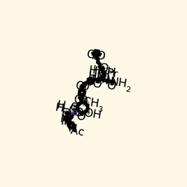 CC(=O)N1CCC(n2nnc3c(F)cc(/C=C(\C)[C@@H]4OC(=O)C[C@H](O)CC[C@@H](C)[C@@H](OC(=O)N5CCN(C(=O)OCc6ccc(NC(=O)[C@H](CCCNC(N)=O)NC(=O)[C@@H](NC(=O)CCCCCN7C(=O)C=CC7=O)C(C)C)cc6)CC5)C=C[C@H]4C)cc32)CC1